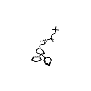 CC(C)(C)CCC(=O)NCCN1CCC(c2ccccc2)(N2CCCC2)CC1